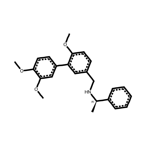 COc1ccc(-c2cc(CN[C@H](C)c3ccccc3)ccc2OC)cc1OC